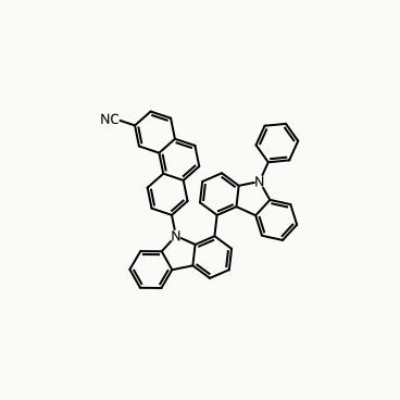 N#Cc1ccc2ccc3cc(-n4c5ccccc5c5cccc(-c6cccc7c6c6ccccc6n7-c6ccccc6)c54)ccc3c2c1